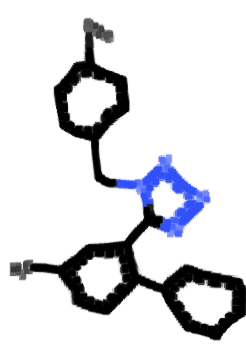 COc1ccc(Cn2nnnc2-c2cc(C)ccc2-c2ccccc2)cc1